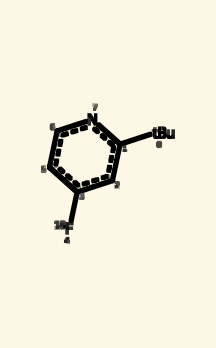 CC(C)(C)c1cc([18F])ccn1